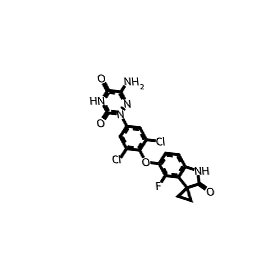 Nc1nn(-c2cc(Cl)c(Oc3ccc4c(c3F)C3(CC3)C(=O)N4)c(Cl)c2)c(=O)[nH]c1=O